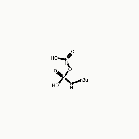 CCCCNP(=O)(O)O[PH](=O)O